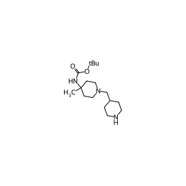 CC1(NC(=O)OC(C)(C)C)CCN(CC2CCNCC2)CC1